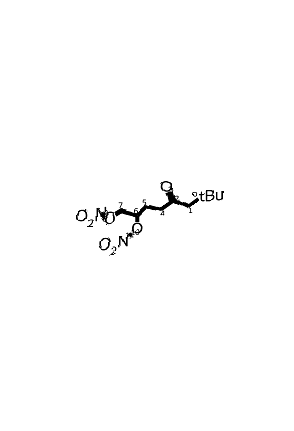 CC(C)(C)CC(=O)CCC(CO[N+](=O)[O-])O[N+](=O)[O-]